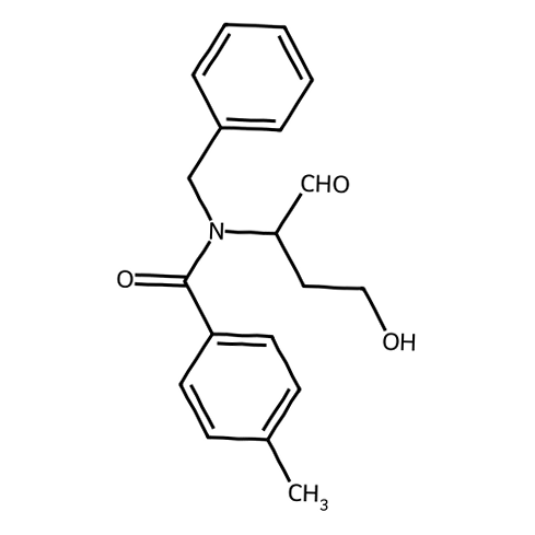 Cc1ccc(C(=O)N(Cc2ccccc2)C(C=O)CCO)cc1